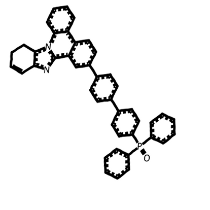 O=P(c1ccccc1)(c1ccccc1)c1ccc(-c2ccc(-c3ccc4c5ccccc5n5c6c(nc5c4c3)C=CCC6)cc2)cc1